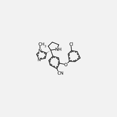 Cn1cncc1[C@]1(c2ccc(C#N)c(Oc3cccc(Cl)c3)c2)CCCN1